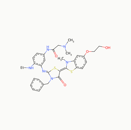 CCNc1ccc(NC(=O)CN(C)C)cc1N=C1SC(=C2Sc3ccc(OCCO)cc3N2C)C(=O)N1Cc1ccccc1